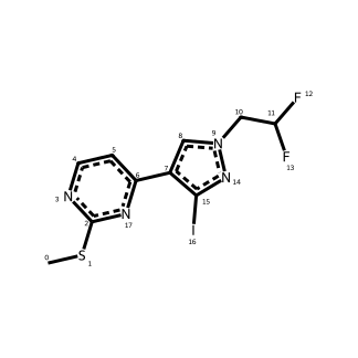 CSc1nccc(-c2cn(CC(F)F)nc2I)n1